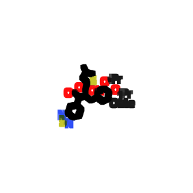 COc1cc(CC2=C(c3ccc4nsnc4c3)C(=O)OC2(O)c2cc(C)cs2)cc(OC(C)C)c1OC(C)C